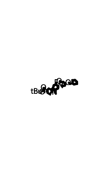 Cn1c2c(c3cc(F)c(-n4ccc(OCc5ccccc5)cc4=O)cc31)CN(C(=O)OC(C)(C)C)CC2